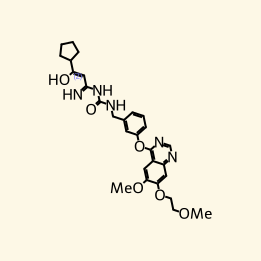 COCCOc1cc2ncnc(Oc3cccc(CNC(=O)NC(=N)/C=C(\O)C4CCCC4)c3)c2cc1OC